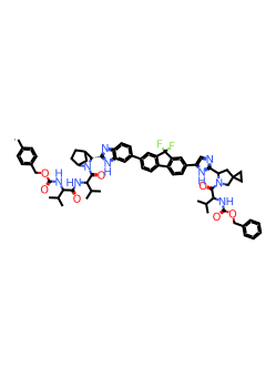 [CH2]c1ccc(COC(=O)NC(C(=O)NC(C(=O)N2C3CCC(C3)[C@@H]2c2nc3ccc(-c4ccc5c(c4)C(F)(F)c4cc(-c6cnc(C7CC8(CC8)CN7C(=O)C(NC(=O)OCc7ccccc7)C(C)C)[nH]6)ccc4-5)cc3[nH]2)C(C)C)C(C)C)cc1